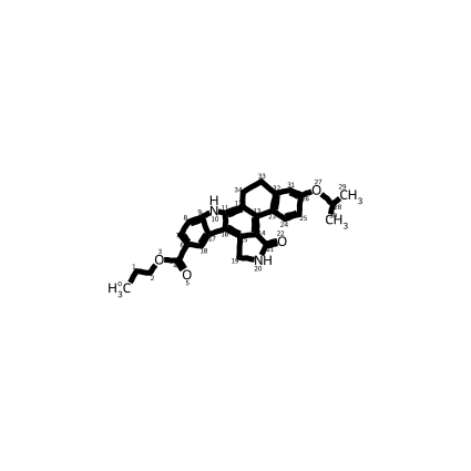 CCCOC(=O)c1ccc2[nH]c3c4c(c5c(c3c2c1)CNC5=O)-c1ccc(OC(C)C)cc1CC4